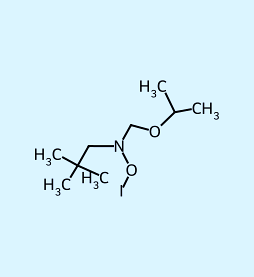 CC(C)OCN(CC(C)(C)C)OI